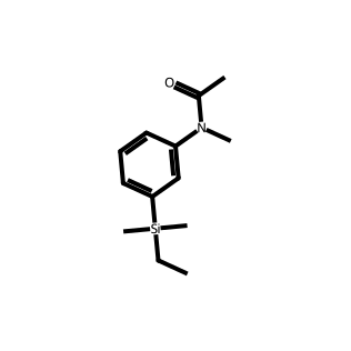 CC[Si](C)(C)c1cccc(N(C)C(C)=O)c1